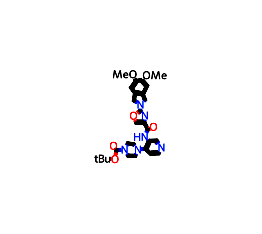 COc1cc2c(cc1OC)CN(c1nc(C(=O)Nc3cnccc3N3CCN(C(=O)OC(C)(C)C)CC3)co1)C2